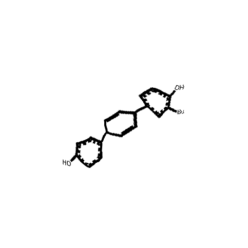 CCC(C)c1cc(C2C=CC(c3ccc(O)cc3)C=C2)ccc1O